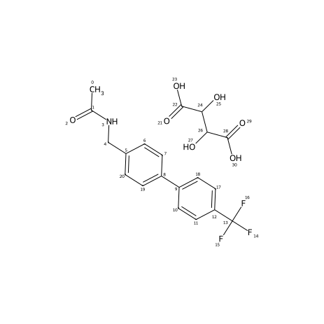 CC(=O)NCc1ccc(-c2ccc(C(F)(F)F)cc2)cc1.O=C(O)C(O)C(O)C(=O)O